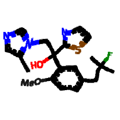 COc1ccc(CC(C)(C)F)cc1C(O)(Cn1cncc1C)c1nccs1